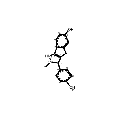 CN1NC2=C(Cc3cc(O)ccc32)C1c1ccc(O)cc1